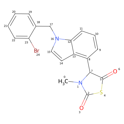 CN1C(=O)SC(=O)C1c1cccc2c1ccn2Cc1ccccc1Br